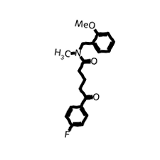 COc1ccccc1CN(C)C(=O)CCCC(=O)c1ccc(F)cc1